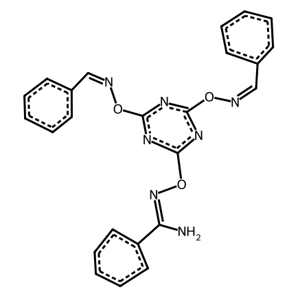 NC(=NOc1nc(O/N=C\c2ccccc2)nc(O/N=C\c2ccccc2)n1)c1ccccc1